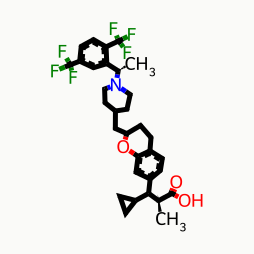 C[C@H](C(=O)O)C(c1ccc2c(c1)OC(CC1CCN([C@@H](C)c3cc(C(F)(F)F)ccc3C(F)(F)F)CC1)CC2)C1CC1